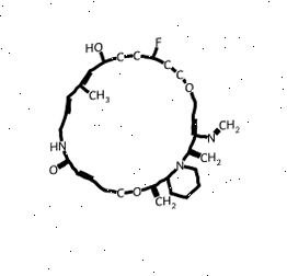 C=N/C1=C\COCCC(F)CCC(O)/C=C(C)/C=C/CNC(=O)/C=C/CCOC(=C)C2CCCCN2C1=C